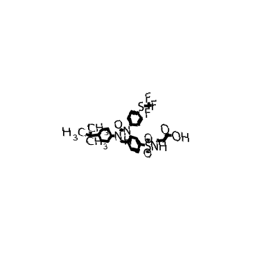 CC(C)(C)C1CCC(N(Cc2ccc(S(=O)(=O)NCCC(=O)O)cc2)C(=O)Nc2ccc(SC(F)(F)F)cc2)CC1